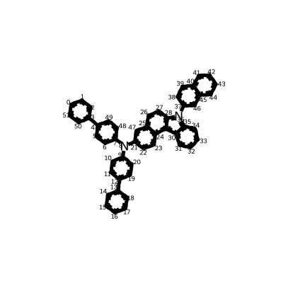 c1ccc(-c2ccc(N(c3ccc(-c4ccccc4)cc3)c3ccc4c(ccc5c4c4ccccc4n5-c4ccc5ccccc5c4)c3)cc2)cc1